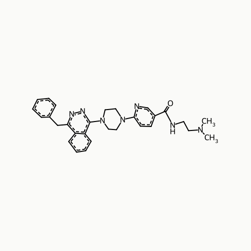 CN(C)CCNC(=O)c1ccc(N2CCN(c3nnc(Cc4ccccc4)c4ccccc34)CC2)nc1